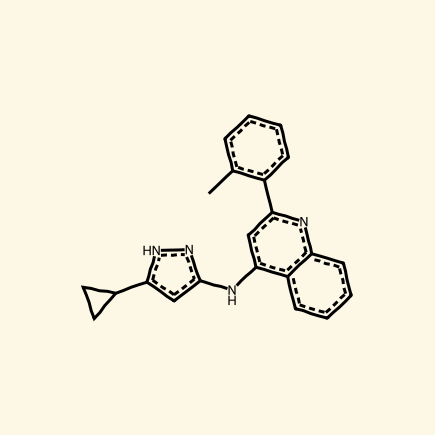 Cc1ccccc1-c1cc(Nc2cc(C3CC3)[nH]n2)c2ccccc2n1